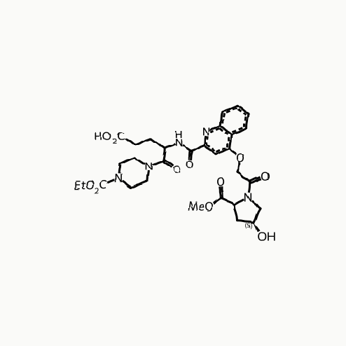 CCOC(=O)N1CCN(C(=O)C(CCC(=O)O)NC(=O)c2cc(OCC(=O)N3C[C@@H](O)CC3C(=O)OC)c3ccccc3n2)CC1